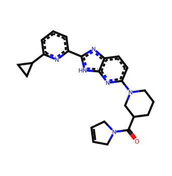 O=C(C1CCCN(c2ccc3nc(-c4cccc(C5CC5)n4)[nH]c3n2)C1)N1CC=CC1